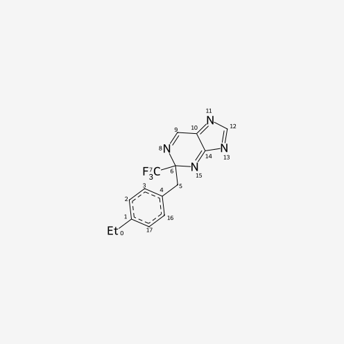 CCc1ccc(CC2(C(F)(F)F)N=CC3=NC=NC3=N2)cc1